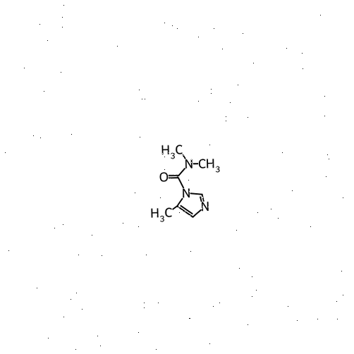 Cc1cncn1C(=O)N(C)C